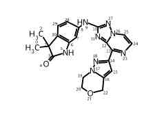 CC1(C)C(=O)Nc2cc(Nc3nc4c(-c5cc6n(n5)CCOC6)nccn4n3)ccc21